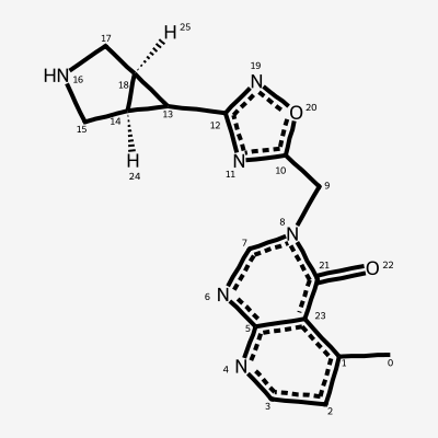 Cc1ccnc2ncn(Cc3nc(C4[C@H]5CNC[C@@H]45)no3)c(=O)c12